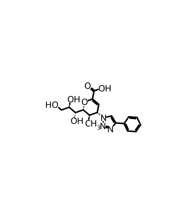 C[C@H]1[C@H]([C@H](O)[C@H](O)CO)OC(C(=O)O)=C[C@@H]1n1cc(-c2ccccc2)nn1